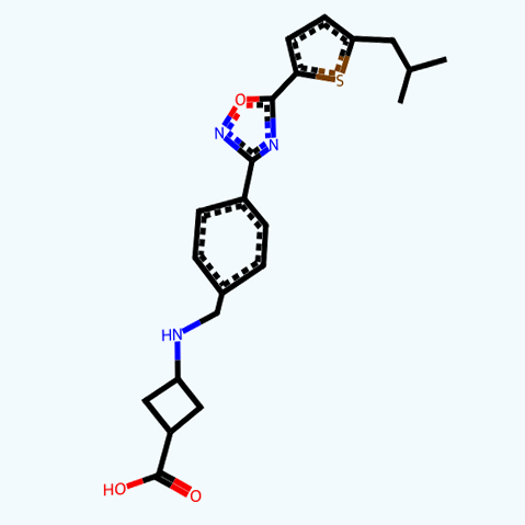 CC(C)Cc1ccc(-c2nc(-c3ccc(CNC4CC(C(=O)O)C4)cc3)no2)s1